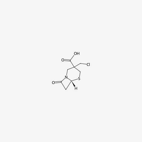 O=C1C[C@H]2SCC(CCl)(C(=O)O)CN12